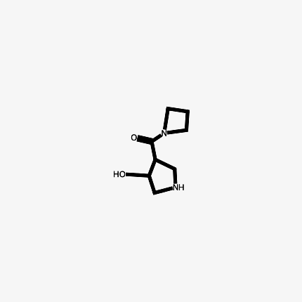 O=C(C1CNCC1O)N1CCC1